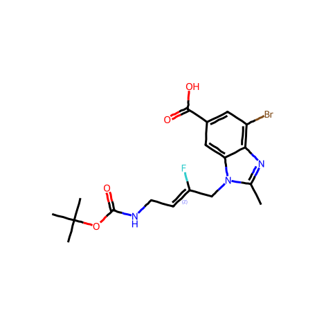 Cc1nc2c(Br)cc(C(=O)O)cc2n1C/C(F)=C/CNC(=O)OC(C)(C)C